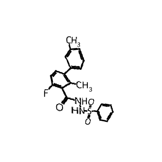 Cc1cccc(-c2ccc(F)c(C(=O)NNS(=O)(=O)c3ccccc3)c2C)c1